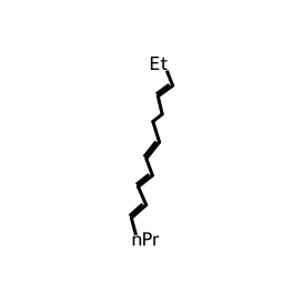 CCC=CCCC=CC=CC=CCCC